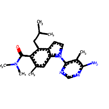 Cc1cc2c(ccn2-c2ncnc(N)c2C)c(CC(C)C)c1C(=O)N(C)C